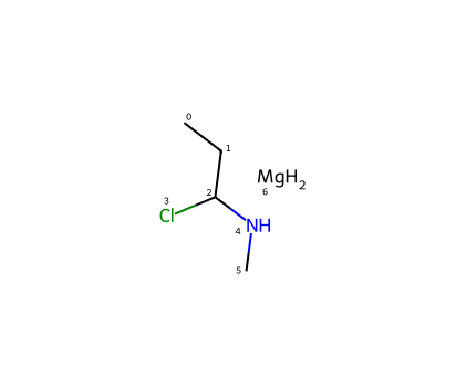 CCC(Cl)NC.[MgH2]